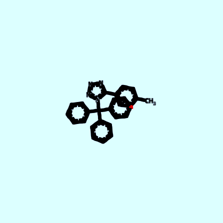 Cc1ccc(-c2nnnn2C(c2ccccc2)(c2ccccc2)c2ccccc2)cc1